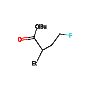 CCC(CCF)C(=O)OCC(C)C